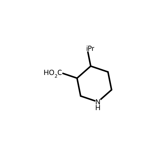 CC(C)C1CCNCC1C(=O)O